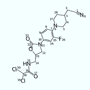 N#CCC1CCN(c2ccc(N3CC(CNC(=O)C(Cl)Cl)OC3=O)cc2F)CC1